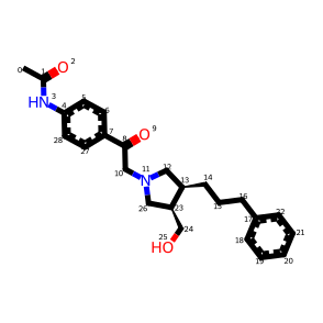 CC(=O)Nc1ccc(C(=O)CN2C[C@@H](CCCc3ccccc3)[C@@H](CO)C2)cc1